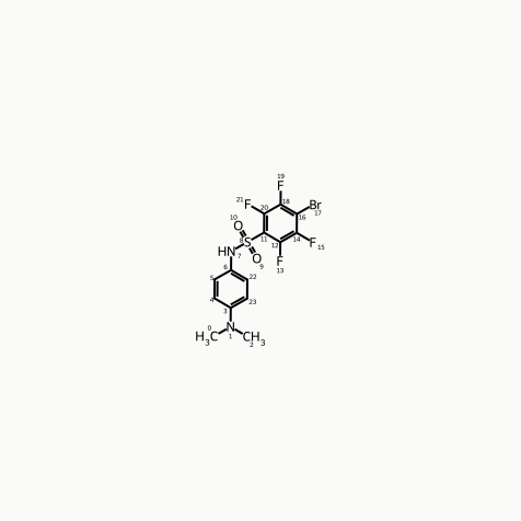 CN(C)c1ccc(NS(=O)(=O)c2c(F)c(F)c(Br)c(F)c2F)cc1